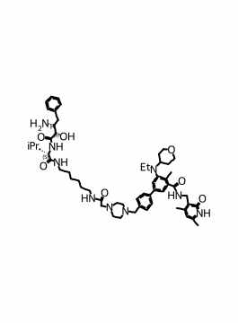 CCN(c1cc(-c2ccc(CN3CCN(CC(=O)NCCCCCCNC(=O)[C@H](CC(C)C)NC(=O)[C@@H](O)[C@H](N)Cc4ccccc4)CC3)cc2)cc(C(=O)NCc2c(C)cc(C)[nH]c2=O)c1C)C1CCOCC1